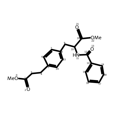 COC(=O)CCc1ccc(CC(NC(=O)c2ccccc2)C(=O)OC)cc1